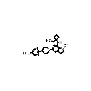 Cc1cnc(C2CCN(c3nc4c(c(NC5(CO)CCC5)n3)[S@+]([O-])CC4)CC2)nc1